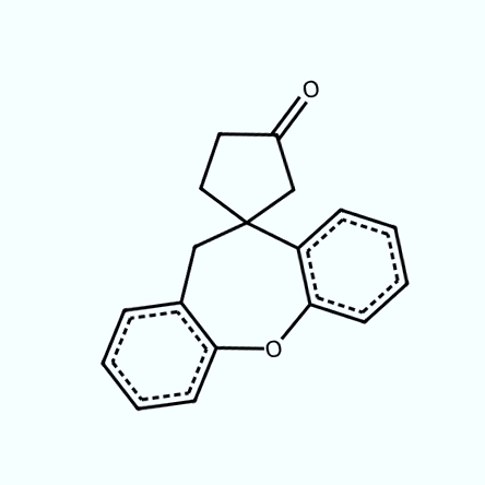 O=C1CCC2(C1)Cc1ccccc1Oc1ccccc12